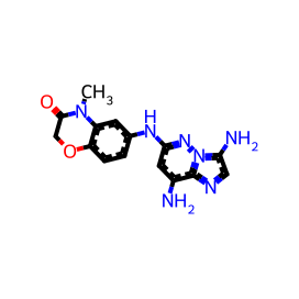 CN1C(=O)COc2ccc(Nc3cc(N)c4ncc(N)n4n3)cc21